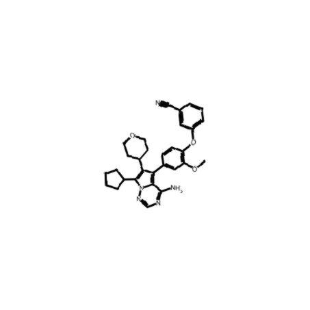 COc1cc(-c2c(C3CCOCC3)c(C3CCCC3)n3ncnc(N)c23)ccc1Oc1cccc(C#N)c1